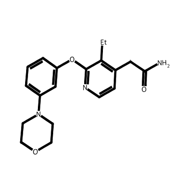 CCc1c([CH]C(N)=O)ccnc1Oc1cccc(N2CCOCC2)c1